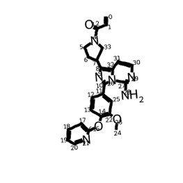 C=CC(=O)N1CCC(c2nc(-c3ccc(Oc4ccccn4)c(OC)c3)n3c(N)nccc23)C1